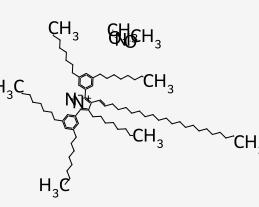 CCCCCCCCCCCCCCCCCCCCC=CC1=C(c2cc(CCCCCCCC)cc(CCCCCCCC)c2)[N+](=[N-])C(c2cc(CCCCCCCC)cc(CCCCCCCC)c2)=C1CCCCCCCC.C[O][Ni][O]C